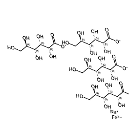 O=C([O-])[C@H](O)[C@@H](O)[C@H](O)[C@H](O)CO.O=C([O-])[C@H](O)[C@@H](O)[C@H](O)[C@H](O)CO.O=C([O-])[C@H](O)[C@@H](O)[C@H](O)[C@H](O)CO.O=C([O-])[C@H](O)[C@@H](O)[C@H](O)[C@H](O)CO.[Fe+3].[Na+]